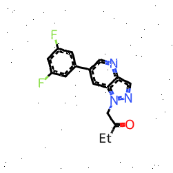 CCC(=O)Cn1ncc2ncc(-c3cc(F)cc(F)c3)cc21